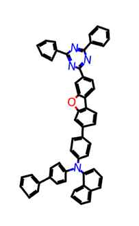 c1ccc(-c2ccc(N(c3ccc(-c4ccc5c(c4)oc4cc(-c6nc(-c7ccccc7)nc(-c7ccccc7)n6)ccc45)cc3)c3cccc4ccccc34)cc2)cc1